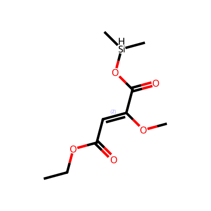 CCOC(=O)/C=C(\OC)C(=O)O[SiH](C)C